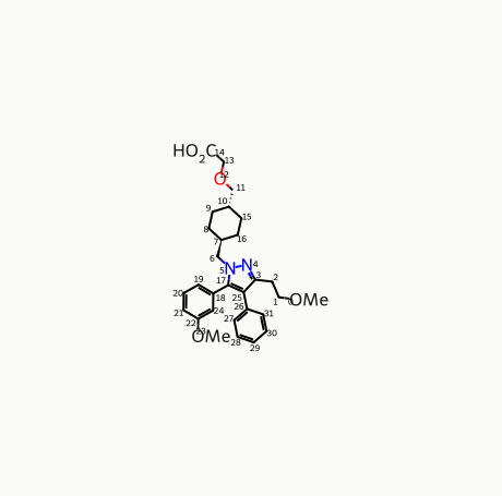 COCCc1nn(C[C@H]2CC[C@H](COCC(=O)O)CC2)c(-c2cccc(OC)c2)c1-c1ccccc1